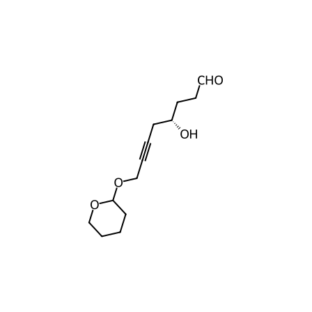 O=CCC[C@H](O)CC#CCOC1CCCCO1